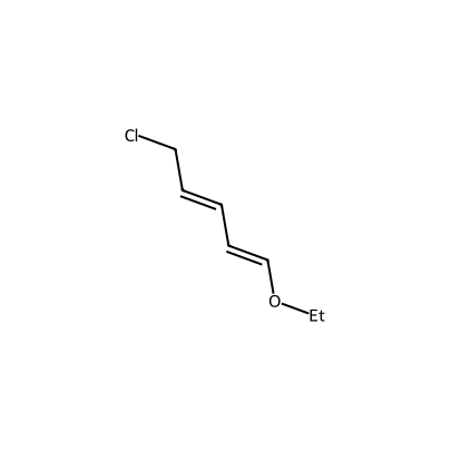 CCOC=CC=CCCl